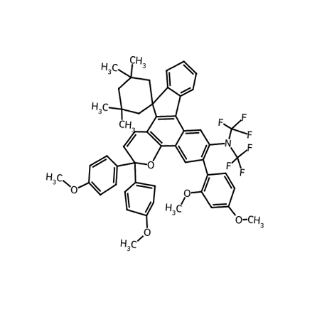 COc1ccc(C2(c3ccc(OC)cc3)C=Cc3c4c(c5cc(N(C(F)(F)F)C(F)(F)F)c(-c6ccc(OC)cc6OC)cc5c3O2)-c2ccccc2C42CC(C)(C)CC(C)(C)C2)cc1